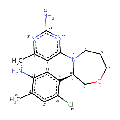 Cc1cc(N2CCCOC[C@H]2c2cc(N)c(C)cc2Cl)nc(N)n1